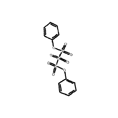 O=S(=O)(Oc1ccccc1)S(=O)(=O)S(=O)(=O)Oc1ccccc1